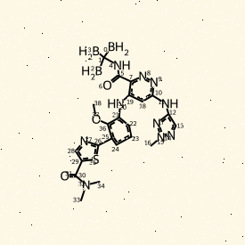 BC(B)(B)NC(=O)c1nnc(Nc2cnn(C)n2)cc1Nc1cccc(-c2ncc(C(=O)N(C)C)s2)c1OC